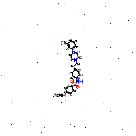 CC(=O)Nc1ccc(S(=O)(=O)NC2CCC(CCN3CCN(c4cccc(Cl)c4)CC3)CC2)cc1